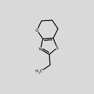 CCc1nc2c(s1)CCCO2